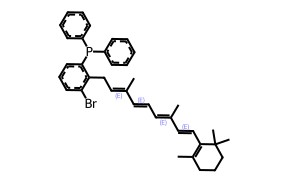 CC1=C(/C=C/C(C)=C/C=C/C(C)=C/Cc2c(Br)cccc2P(c2ccccc2)c2ccccc2)C(C)(C)CCC1